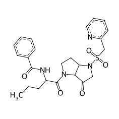 CCCC(NC(=O)c1ccccc1)C(=O)N1CCC2C1C(=O)CN2S(=O)(=O)Cc1ccccn1